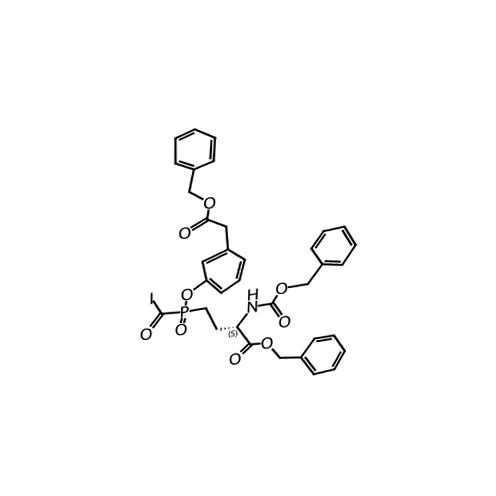 O=C(Cc1cccc(OP(=O)(CC[C@H](NC(=O)OCc2ccccc2)C(=O)OCc2ccccc2)C(=O)I)c1)OCc1ccccc1